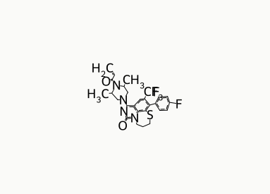 C=CC(=O)N1C(C)CN(c2nc(=O)n3c4c(c(-c5ccc(F)cc5F)c(C(F)(F)F)cc24)SCCC3)CC1C